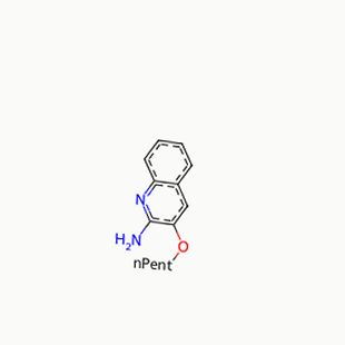 CCCCCOc1cc2ccccc2nc1N